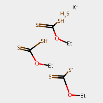 CCOC(=S)S.CCOC(=S)S.CCOC(=S)[S-].S.[K+]